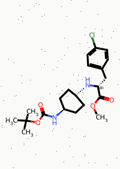 COC(=O)[C@@H](Cc1ccc(Cl)cc1)N[C@H]1CC[C@H](NC(=O)OC(C)(C)C)CC1